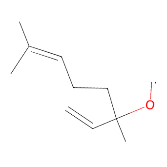 [CH2]OC(C)(C=C)CCC=C(C)C